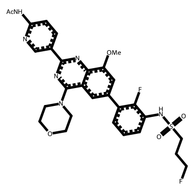 COc1cc(-c2cccc(NS(=O)(=O)CCCF)c2F)cc2c(N3CCOCC3)nc(-c3ccc(NC(C)=O)nc3)nc12